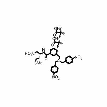 CSCC[C@H](CC(=O)O)NC(=O)c1cccc(CN(Cc2ccc([N+](=O)[O-])cc2)Cc2ccc([N+](=O)[O-])cc2)c1.O=C(O)C(F)(F)F.O=C(O)C(F)(F)F